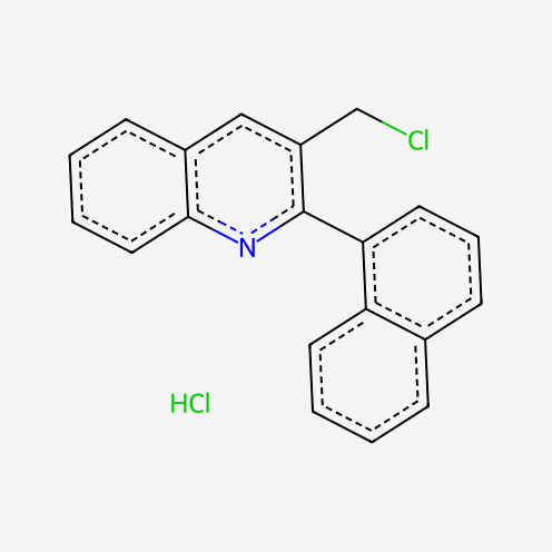 Cl.ClCc1cc2ccccc2nc1-c1cccc2ccccc12